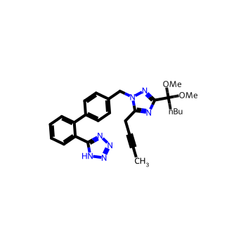 CC#CCc1nc(C(CCCC)(OC)OC)nn1Cc1ccc(-c2ccccc2-c2nnn[nH]2)cc1